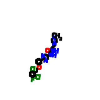 CN1CCN(CCNC(=O)Nc2cnc(-c3cccc(OCCc4c(Cl)ccc(F)c4Cl)c3)nc2)CC1